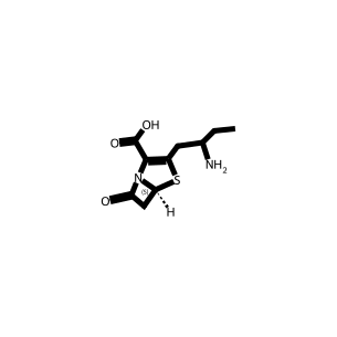 CCC(N)CC1=C(C(=O)O)N2C(=O)C[C@@H]2S1